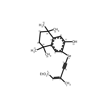 CCOC(=O)C=C(C)C#C[Se]c1cc2c(cc1O)C(C)(C)CCC2(C)C